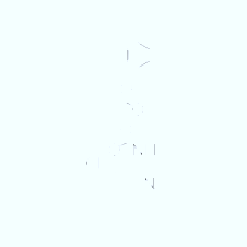 CCCCC(CC(=O)OCc1ccccc1)OC(=O)NCCN1CCCC1